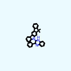 CC1(C)c2ccccc2-c2cc3c4ccccc4n(C4Nc5ccccc5N=C4c4ccccc4)c3cc21